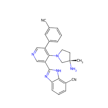 C[C@]1(N)CCN(c2c(-c3cccc(C#N)c3)cncc2-c2nc3cccc(C#N)c3[nH]2)C1